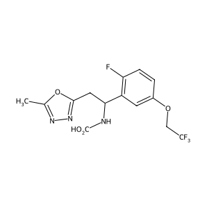 Cc1nnc(CC(NC(=O)O)c2cc(OCC(F)(F)F)ccc2F)o1